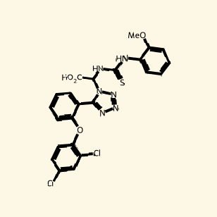 COc1ccccc1NC(=S)NC(C(=O)O)n1nnnc1-c1ccccc1Oc1ccc(Cl)cc1Cl